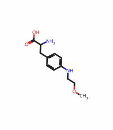 COCCNc1ccc(CC(N)C(=O)O)cc1